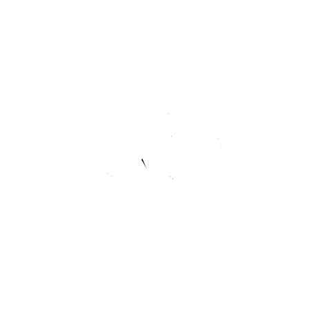 CCOC(=O)CC(C[N+](=O)[O-])[C@@H](CO[Si](C)(C)C(C)(C)C)NC(=O)OC(C)(C)C